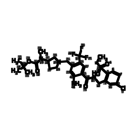 CCS(=O)(=O)c1ccc(Cl)cc1CNC(=O)c1cc(C(F)(F)F)c(CN2CC[C@@H](N(C)C(=O)OC(C)(C)C)C2)cc1N